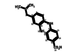 CN(C)Cc1ccc(Nc2ccc(C(=O)O)cc2)c(N)c1